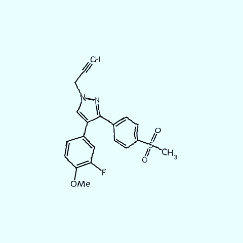 C#CCn1cc(-c2ccc(OC)c(F)c2)c(-c2ccc(S(C)(=O)=O)cc2)n1